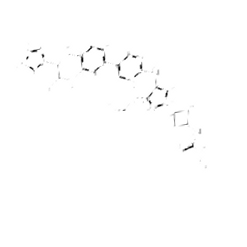 CC(Cn1cnnn1)Oc1cc(-c2cnc(Nc3cn([C@H]4C[C@H](NC(=O)OC(C)(C)C)C4)nc3OCC(F)(F)F)nc2)ccc1Cl